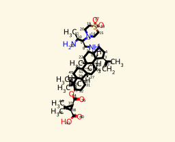 C=C(C)[C@@H]1CC[C@]2(NC[C@@H]([C@H](C)N)N3CCS(=O)(=O)CC3)CC[C@]3(C)[C@H](CC[C@@H]4[C@@]5(C)CC[C@H](OC(=O)[C@H]6[C@@H](C(=O)O)C6(C)C)C(C)(C)[C@@H]5CC[C@]43C)[C@@H]12